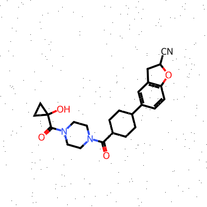 N#CC1Cc2cc(C3CCC(C(=O)N4CCN(C(=O)C5(O)CC5)CC4)CC3)ccc2O1